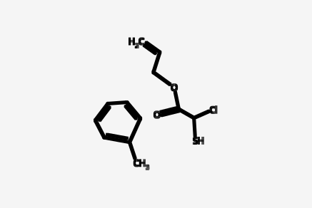 C=CCOC(=O)C(S)Cl.Cc1ccccc1